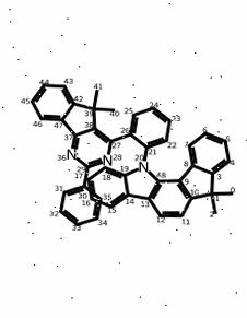 CC1(C)c2ccccc2-c2c1ccc1c3ccccc3n(-c3ccccc3-c3nc(-c4ccccc4)nc4c3C(C)(C)c3ccccc3-4)c21